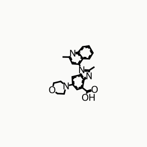 Cc1cc(-n2c(C)nc3c(C(=O)O)cc(N4CCOCC4)cc32)c2ccccc2n1